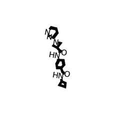 O=C(NC1CCC1)c1ccc(NC(=O)C2CN(c3cccnn3)C2)cc1